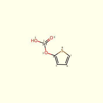 [O]=[Sn]([OH])[O]c1cccs1